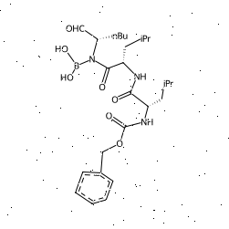 CCCC[C@@H](C=O)N(B(O)O)C(=O)[C@H](CC(C)C)NC(=O)[C@H](CC(C)C)NC(=O)OCc1ccccc1